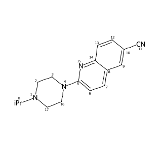 CC(C)N1CCN(c2ccc3cc(C#N)ccc3n2)CC1